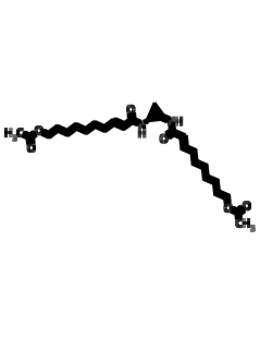 CC(=O)OCCCCCCC/C=C/C(=O)NC1C[C@@H]1NC(=O)/C=C/CCCCCCCOC(C)=O